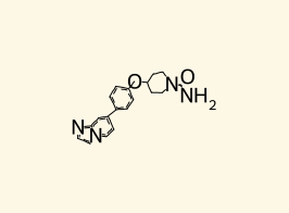 NC(=O)N1CCC(Oc2ccc(-c3ccn4ccnc4c3)cc2)CC1